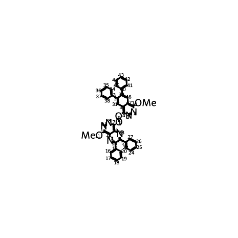 COc1nnc(OOc2nnc(OC)c3nc(-c4ccccc4)c(-c4ccccc4)nc23)c2cc(-c3ccccc3)c(-c3ccccc3)cc12